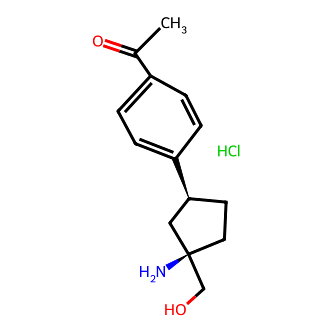 CC(=O)c1ccc([C@H]2CC[C@](N)(CO)C2)cc1.Cl